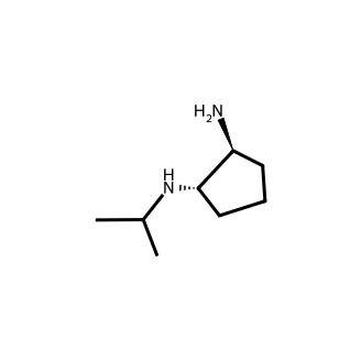 CC(C)N[C@H]1CCC[C@@H]1N